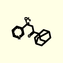 C[C@H](CC(=O)C12CC3CC(CC(C3)C1)C2)c1cccnc1